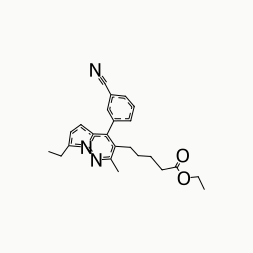 CCOC(=O)CCCCc1c(C)nn2c(CC)ccc2c1-c1cccc(C#N)c1